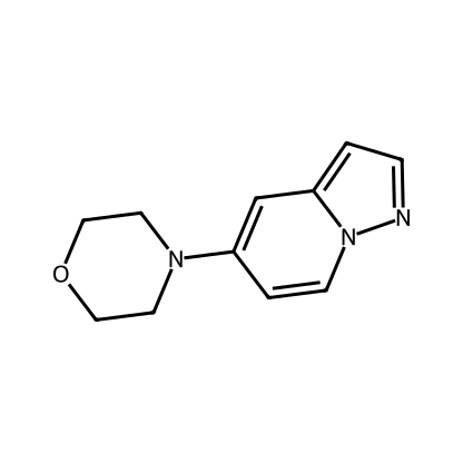 c1cc2cc(N3CCOCC3)ccn2n1